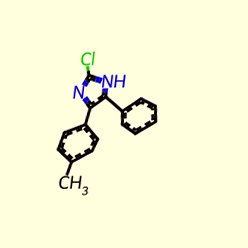 Cc1ccc(-c2nc(Cl)[nH]c2-c2ccccc2)cc1